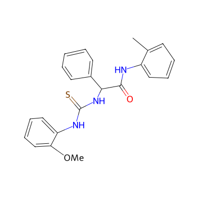 COc1ccccc1NC(=S)NC(C(=O)Nc1ccccc1C)c1ccccc1